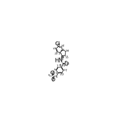 CS(=O)(=O)Cc1ccc(C(=O)N[C@H]2CCc3cc(Cl)ccc32)cc1